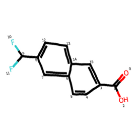 O=C(O)c1ccc2cc(C(F)F)ccc2c1